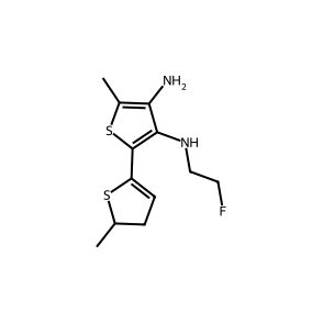 Cc1sc(C2=CCC(C)S2)c(NCCF)c1N